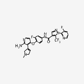 CN1CC=C(c2c(Oc3ccc(NC(=O)c4cnn(-c5ncccc5F)c4C(F)(F)F)cc3F)ccnc2N)C1